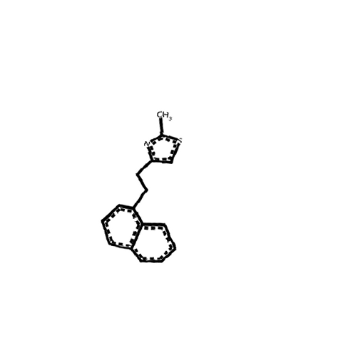 Cc1nc(CCc2cccc3ccccc23)cs1